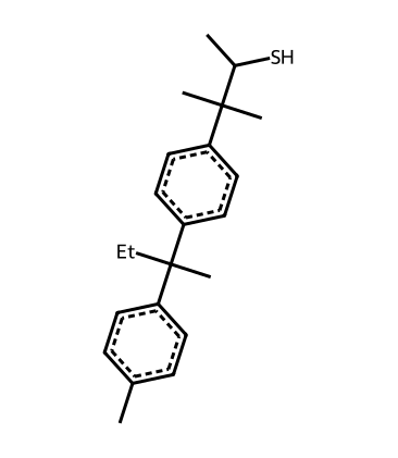 CCC(C)(c1ccc(C)cc1)c1ccc(C(C)(C)C(C)S)cc1